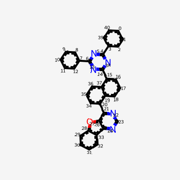 c1ccc(-c2nc(-c3ccccc3)nc(-c3cccc4c(-c5ncnc6c5oc5ccccc56)cccc34)n2)cc1